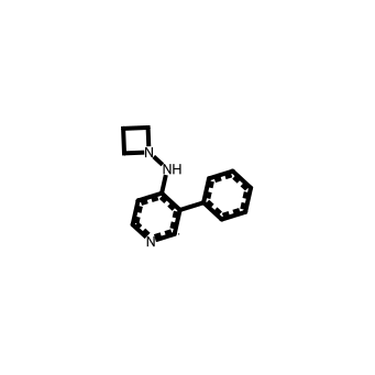 [c]1nccc(NN2CCC2)c1-c1ccccc1